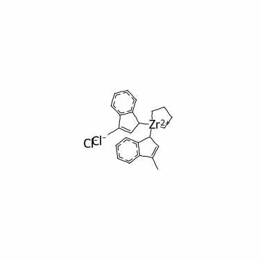 CC1=C[CH]([Zr+2]2([CH]3C=C(C)c4ccccc43)[CH2]CC[CH2]2)c2ccccc21.[Cl-].[Cl-]